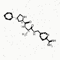 C[C@H](NC(=O)[C@H]1C[C@H](c2ccccc2)CN1)C(=O)NCc1ccc(C(=N)N)nc1